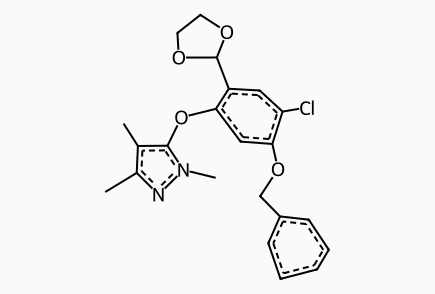 Cc1nn(C)c(Oc2cc(OCc3ccccc3)c(Cl)cc2C2OCCO2)c1C